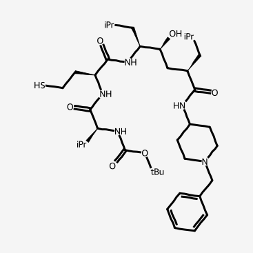 CC(C)C[C@H](C[C@H](O)[C@H](CC(C)C)NC(=O)[C@H](CCS)NC(=O)[C@@H](NC(=O)OC(C)(C)C)C(C)C)C(=O)NC1CCN(Cc2ccccc2)CC1